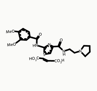 COc1ccc(C(=O)Nc2nc(C(=O)NCCN3CCCC3)cs2)cc1OC.O=C(O)C=CC(=O)O